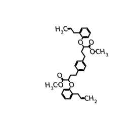 C=CCc1ccccc1OC(CCc1ccc(CCC(Oc2ccccc2CC=C)C(=O)OC)cc1)C(=O)OC